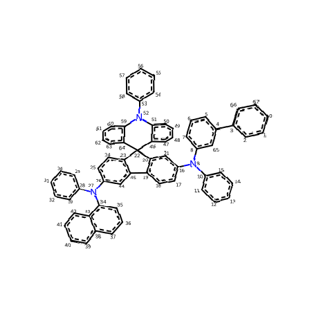 c1ccc(-c2cccc(N(c3ccccc3)c3ccc4c(c3)C3(c5ccc(N(c6ccccc6)c6cccc7ccccc67)cc5-4)c4ccccc4N(c4ccccc4)c4ccccc43)c2)cc1